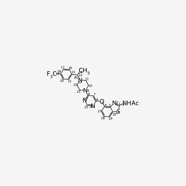 CC(=O)Nc1nc2c(Oc3cc(N4CCN([C@H](C)c5ccc(C(F)(F)F)cc5)CC4)ncn3)cccc2s1